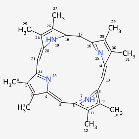 CC1=C(C)/C2=C/c3[nH]c(c(C)c3C)/C=C3\N=C(CC4N/C(=C\C1=N2)C(C)=C4C)C(C)=C3C